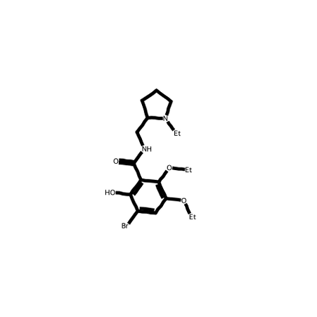 CCOc1cc(Br)c(O)c(C(=O)NCC2CCCN2CC)c1OCC